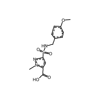 COc1ccc(CNS(=O)(=O)c2cc(C(=O)O)n(C)n2)cc1